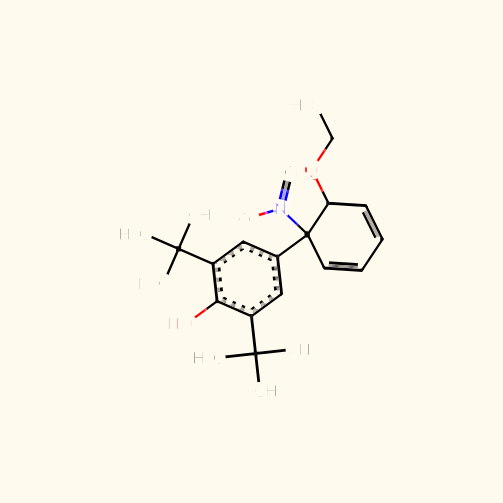 C=[N+]([O-])C1(c2cc(C(C)(C)C)c(O)c(C(C)(C)C)c2)C=CC=CC1OCC